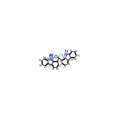 CC(F)(c1cccc2c1[nH]c1ccccc12)c1cccc2c1[nH]c1ccccc12